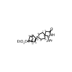 CCCN1NC(=O)CC12CCN(C1=CC3CCC1CN3C(=O)OCC)CC2